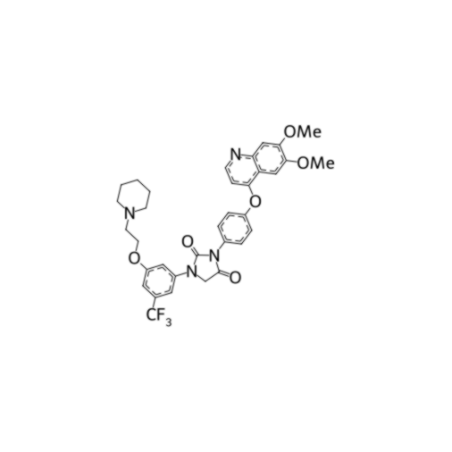 COc1cc2nccc(Oc3ccc(N4C(=O)CN(c5cc(OCCN6CCCCC6)cc(C(F)(F)F)c5)C4=O)cc3)c2cc1OC